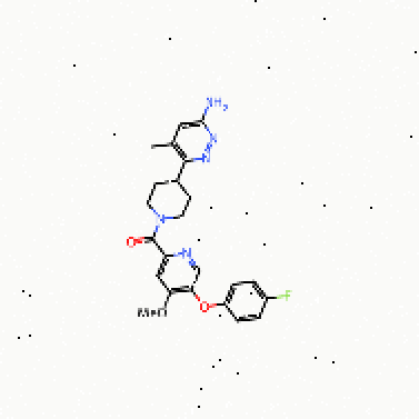 COc1cc(C(=O)N2CCC(c3nnc(N)cc3C)CC2)ncc1Oc1ccc(F)cc1